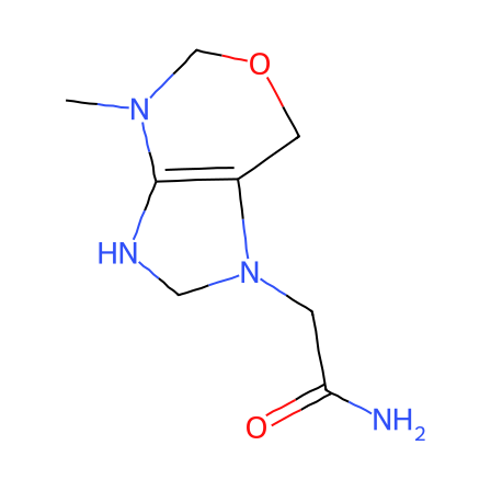 CN1COCC2=C1NCN2CC(N)=O